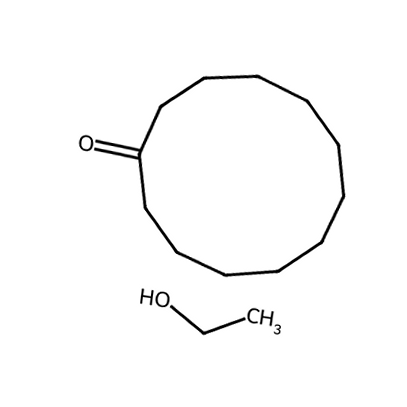 CCO.O=C1CCCCCCCCCCC1